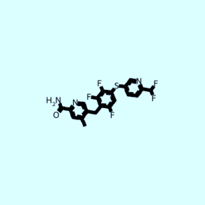 Cc1cc(C(N)=O)ncc1Cc1c(F)cc(Sc2ccc(C(F)F)nc2)c(F)c1F